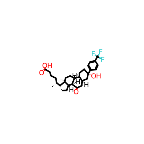 C[C@H](CCCC(=O)O)[C@H]1CC[C@H]2[C@@H]3C(=O)C[C@@H]4C[C@](O)(c5ccc(C(F)(F)F)cc5)CC[C@]4(C)[C@H]3CC[C@]12C